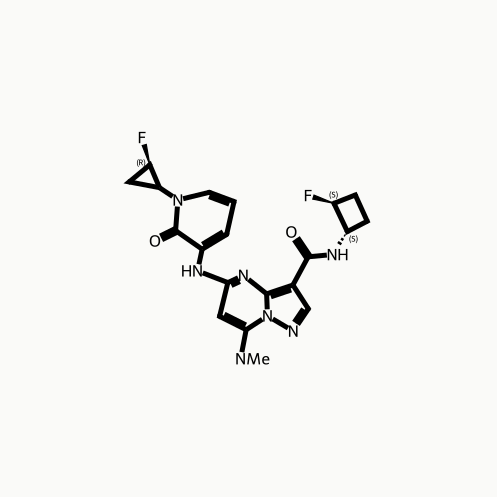 CNc1cc(Nc2cccn(C3C[C@H]3F)c2=O)nc2c(C(=O)N[C@H]3CC[C@@H]3F)cnn12